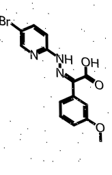 COc1cccc(C(=NNc2ccc(Br)cn2)C(=O)O)c1